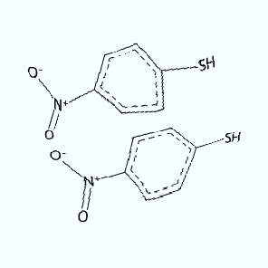 O=[N+]([O-])c1ccc(S)cc1.O=[N+]([O-])c1ccc(S)cc1